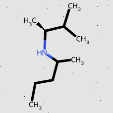 CCCC(C)N[C@@H](C)C(C)C